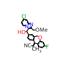 COCc1nc2cc(Cl)ccn2c1C(O)c1ccc2c(c1)COc1cc(F)ccc1C2=C(C)C#N